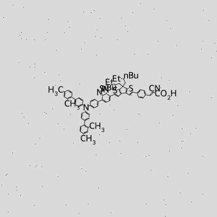 CCCCC(CC)CC1(CC(CC)CCCC)c2sc(-c3ccc(/C=C(\C#N)C(=O)O)cc3)cc2-c2cc(-c3ccc(-c4ccc(N(c5ccc(-c6ccc(C)cc6C)cc5)c5ccc(-c6ccc(C)cc6C)cc5)cc4)c4nsnc34)sc21